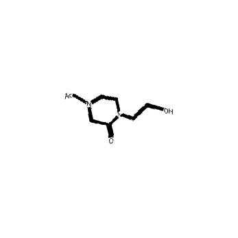 CC(=O)N1CCN(CCO)C(=O)C1